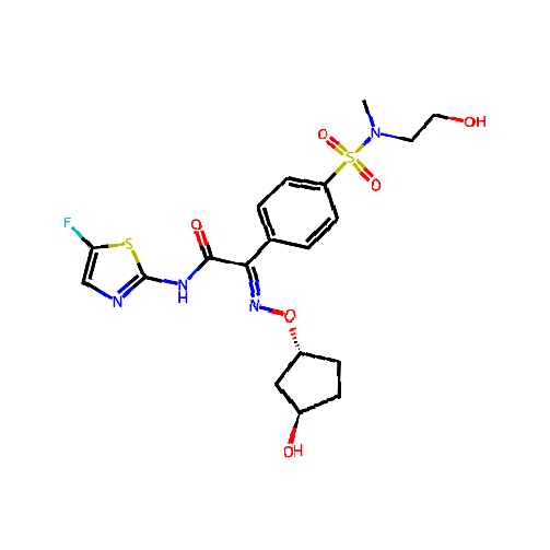 CN(CCO)S(=O)(=O)c1ccc(/C(=N\O[C@@H]2CC[C@@H](O)C2)C(=O)Nc2ncc(F)s2)cc1